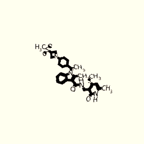 CSc1cc(C)[nH]c(=O)c1CNC(=O)c1c(C)n([C@H](C)C2CCC(N3CC(S(C)(=O)=O)C3)CC2)c2ccccc12